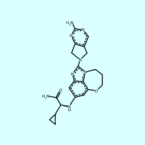 NC(=O)[C@@H](Nc1cc2c3c(c1)nc(N1Cc4cnc(N)nc4C1)n3CCCO2)C1CC1